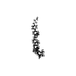 CCCCCc1ccc(-c2ccc(OCc3ccc(-c4ccc(C(F)(F)Oc5cc(F)c(F)c(F)c5)c(F)c4)c(F)c3)c(F)c2)cc1